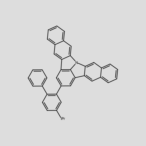 CC(C)c1ccc(-c2ccccc2)c(-c2cc3c4cc5ccccc5cc4n4c5cc6ccccc6cc5c(c2)c34)c1